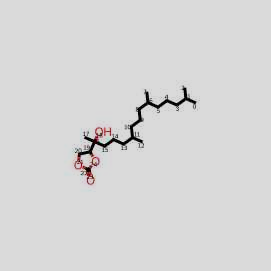 CC(C)CCCC(C)CCCC(C)CCCC(C)(O)C1COC(=O)O1